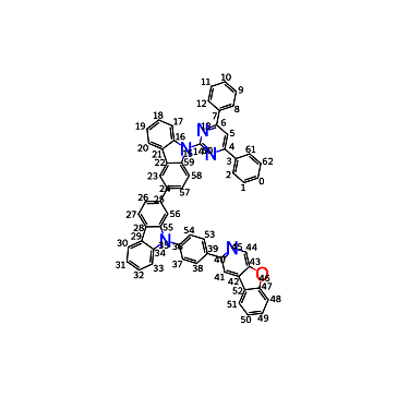 c1ccc(-c2cc(-c3ccccc3)nc(-n3c4ccccc4c4cc(-c5ccc6c7ccccc7n(-c7ccc(-c8cc9c(cn8)oc8ccccc89)cc7)c6c5)ccc43)n2)cc1